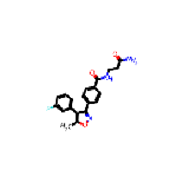 CC1ON=C(c2ccc(C(=O)NCCC(N)=O)cc2)C1c1cccc(F)c1